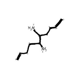 C=CCCC(N)C(N)CCC=C